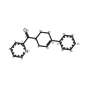 O=C(c1ccccn1)C1CC=C(c2ccccc2)CC1